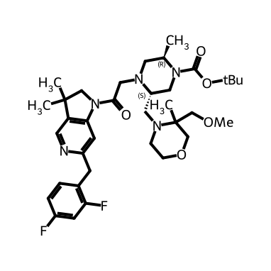 COCC1(C)COCCN1C[C@H]1CN(C(=O)OC(C)(C)C)[C@H](C)CN1CC(=O)N1CC(C)(C)c2cnc(Cc3ccc(F)cc3F)cc21